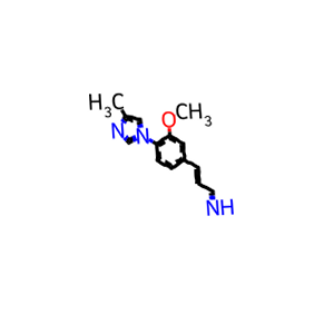 COc1cc(/C=C/C=N)ccc1-n1cnc(C)c1